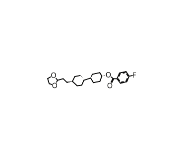 O=C(O[C@H]1CC[C@H]([C@H]2CC[C@H](CCC3OCCO3)CC2)CC1)c1ccc(F)cc1